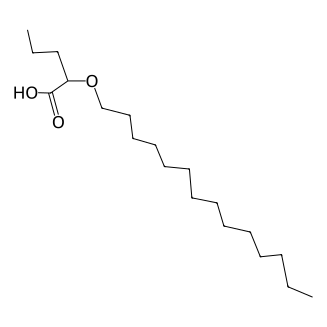 CCCCCCCCCCCCCCOC(CCC)C(=O)O